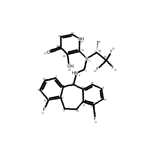 C[C@@H](N(CNC1c2cccc(F)c2CCc2c(F)cccc21)c1[nH]ccc(=O)c1O)C(F)(F)F